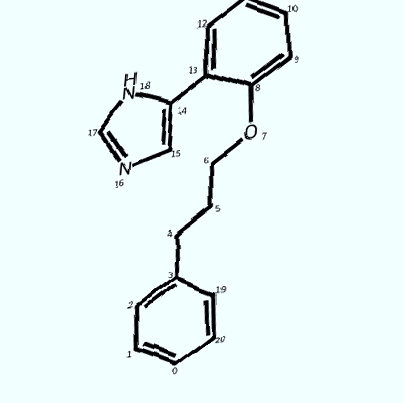 c1ccc(CCCOc2ccccc2-c2cnc[nH]2)cc1